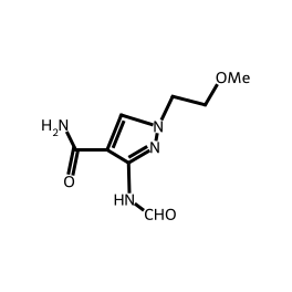 COCCn1cc(C(N)=O)c(NC=O)n1